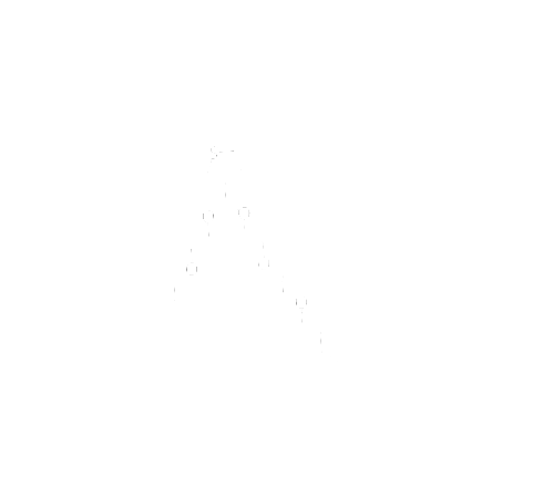 CCCCOCCOCCOC(OCCOCC)c1ccsc1